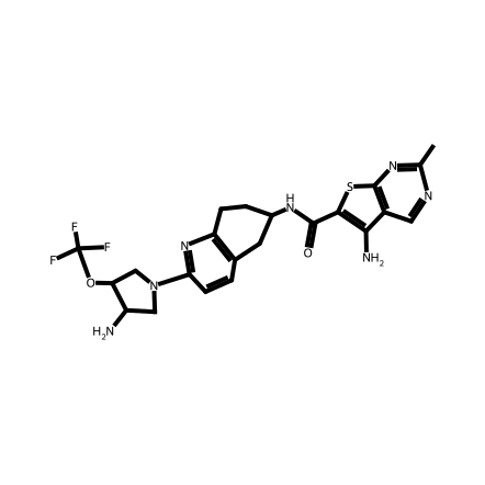 Cc1ncc2c(N)c(C(=O)NC3CCc4nc(N5CC(N)C(OC(F)(F)F)C5)ccc4C3)sc2n1